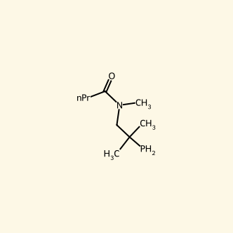 CCCC(=O)N(C)CC(C)(C)P